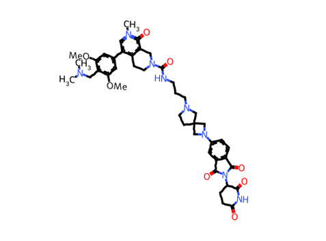 COc1cc(-c2cn(C)c(=O)c3c2CCN(C(=O)NCCCN2CCC4(C2)CN(c2ccc5c(c2)C(=O)N(C2CCC(=O)NC2=O)C5=O)C4)C3)cc(OC)c1CN(C)C